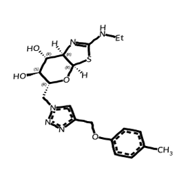 CCNC1=N[C@@H]2[C@@H](O)[C@H](O)[C@@H](Cn3cc(COc4ccc(C)cc4)nn3)O[C@@H]2S1